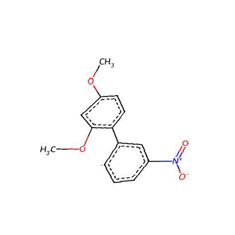 COc1ccc(-c2[c]ccc([N+](=O)[O-])c2)c(OC)c1